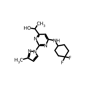 Cc1ccn(-c2nc(NC3CCC(F)(F)CC3)cc(C(C)O)n2)n1